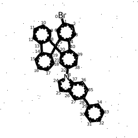 Brc1ccc2c(c1)C1(c3ccccc3-c3ccccc31)c1cc(-n3ccc4cc(-c5ccccc5)ccc43)ccc1-2